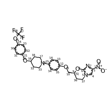 O=[N+]([O-])c1cn2c(n1)O[C@H](COc1ccc(N3CCC(Oc4ccc(OC(F)(F)F)cc4)CC3)cc1)CC2